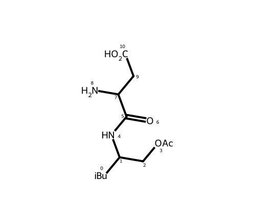 CCC(C)C(COC(C)=O)NC(=O)C(N)CC(=O)O